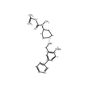 C=C(C)OC(=O)N(C)[C@H]1CC[C@H](NCc2cc(-c3cccnc3)ccc2OC)CC1